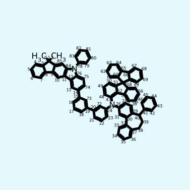 CC1(C)c2ccccc2-c2cc3c4cc(-c5cccc(-c6cccc(N(c7ccc8c(c7)-c7ccccc7CCC8c7ccccc7)c7cccc8c7-c7ccccc7C87c8ccccc8-c8ccccc87)c6)c5)ccc4n(-c4ccccc4)c3cc21